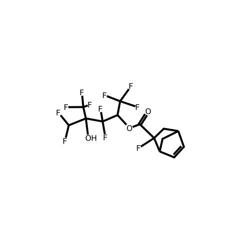 O=C(OC(C(F)(F)F)C(F)(F)C(O)(C(F)F)C(F)(F)F)C1(F)CC2C=CC1C2